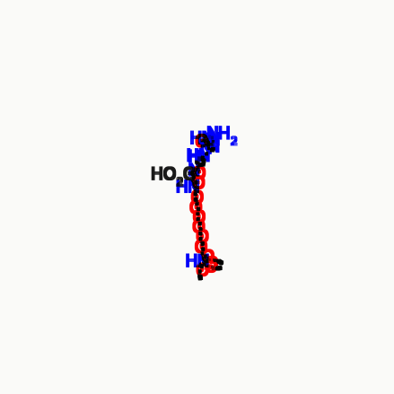 C#CCOCC(COCC#C)(COCC#C)NC(=O)CCOCCOCCOCCOCCOCCOCCNC(=O)CCC(NC(=O)c1ccc(NCc2cnc3nc(N)[nH]c(=O)c3n2)cc1)C(=O)O